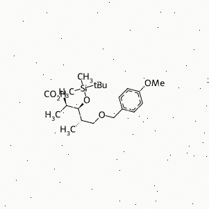 COc1ccc(COC[C@H](C)[C@H](O[Si](C)(C)C(C)(C)C)[C@@H](C)C(=O)O)cc1